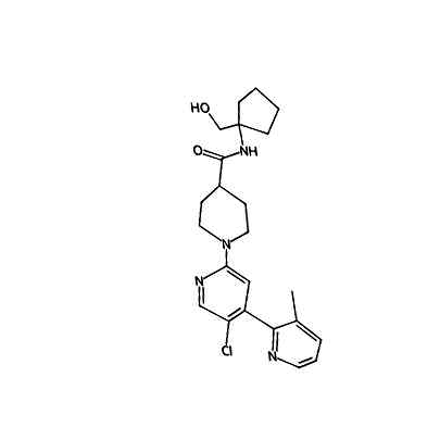 Cc1cccnc1-c1cc(N2CCC(C(=O)NC3(CO)CCCC3)CC2)ncc1Cl